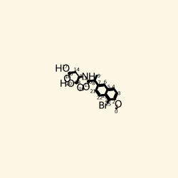 COc1ccc2cc(C(C)C(=O)N[C@H](CC(=O)O)C(=O)O)ccc2c1Br